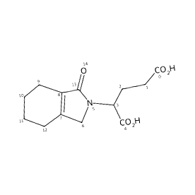 O=C(O)CCC(C(=O)O)N1CC2=C(CCCC2)C1=O